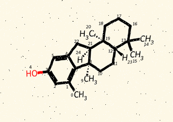 Cc1cc(O)cc2c1[C@]1(C)CC[C@H]3C(C)(C)CCC[C@]3(C)[C@@H]1C2